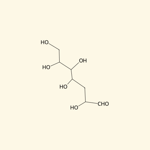 O=CC(O)CC(O)C(O)C(O)CO